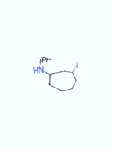 CC(C)NC1CCCCC(I)C1